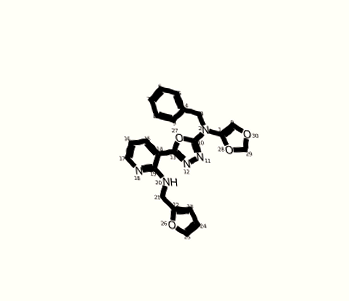 C1=C(N(Cc2ccccc2)c2nnc(-c3cccnc3NCc3ccco3)o2)OCO1